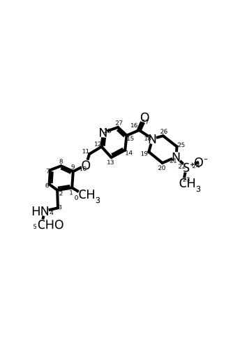 Cc1c(CNC=O)cccc1OCc1ccc(C(=O)N2CCN([S+](C)[O-])CC2)cn1